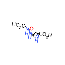 O=C(O)CNC(=O)N[C@@H]1CN[C@H](C(=O)O)C1